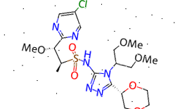 COCC(COC)n1c(NS(=O)(=O)[C@@H](C)[C@H](OC)c2ncc(Cl)cn2)nnc1[C@H]1COCCO1